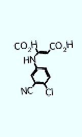 N#Cc1cc(NC(=CC(=O)O)C(=O)O)ccc1Cl